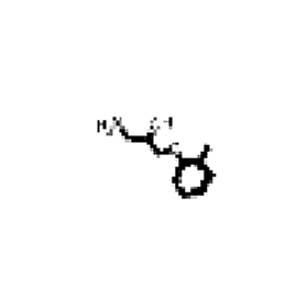 Cc1ccccc1OCC(O)CN